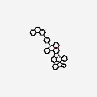 c1ccc(N(c2ccc(-c3ccc4ccc5ccccc5c4c3)cc2)c2ccccc2-c2cccc3c2c2cccc4c2n3-c2ccccc2C42c3ccccc3-c3ccccc32)cc1